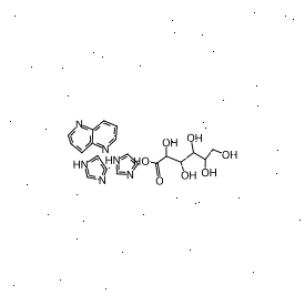 O=C(O)C(O)C(O)C(O)C(O)CO.c1c[nH]cn1.c1c[nH]cn1.c1cnc2cccnc2c1